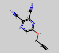 C#CCOc1cnc(C#N)c(C#N)n1